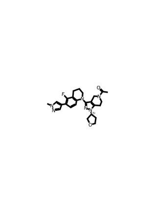 CC(=O)N1CCc2c(c(N3CCCc4c3ccc(-c3cnn(C)c3)c4F)nn2[C@H]2CCOC2)C1